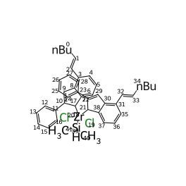 CCCCC=Cc1cccc2c1C=C(c1ccccc1)[CH]2[Zr]([Cl])([Cl])([CH]1C(c2ccccc2)=Cc2c(C=CCCCC)cccc21)[SiH](C)C